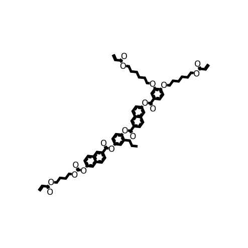 C=CC(=O)OCCCCCCOc1ccc(C(=O)Oc2ccc3cc(C(=O)Oc4ccc(OC(=O)c5ccc6cc(OC(=O)OCCCCOC(=O)C=C)ccc6c5)cc4CCC)ccc3c2)cc1OCCCCCCOC(=O)C=C